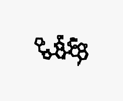 CC(C)(C)OC(=O)N(Cc1c(F)ccc2c1CCO2)c1ncc(-c2ccn(CC3CCCO3)n2)c2nc(C#N)cn12